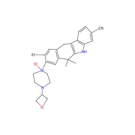 CCc1cc2c(cc1[N+]1([O-])CCN(C3COC3)CC1)C(C)(C)c1[nH]c3cc(C#N)ccc3c1C2